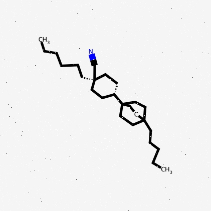 CCCCCC[C@]1(C#N)CC[C@H](C23CCC(CCCCC)(CC2)CC3)CC1